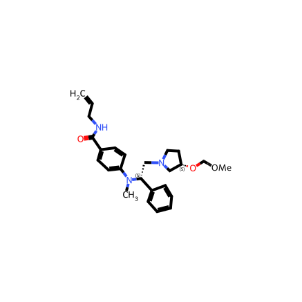 C=CCNC(=O)c1ccc(N(C)[C@H](CN2CC[C@H](OCOC)C2)c2ccccc2)cc1